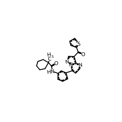 CC1(C(=O)Nc2cccc(-c3ccnc4c(C(=O)c5cccs5)cnn34)c2)CCCCC1